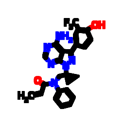 C=CC(=O)N(CC1(n2nc(-c3ccc(O)c(C(F)(F)F)c3)c3c(N)ncnc32)CC1)c1ccccc1